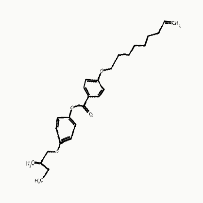 C=CCCCCCCCOc1ccc(C(=O)Oc2ccc(OCC(C)CC)cc2)cc1